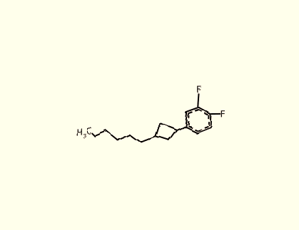 CCCCCCC1CC(c2ccc(F)c(F)c2)C1